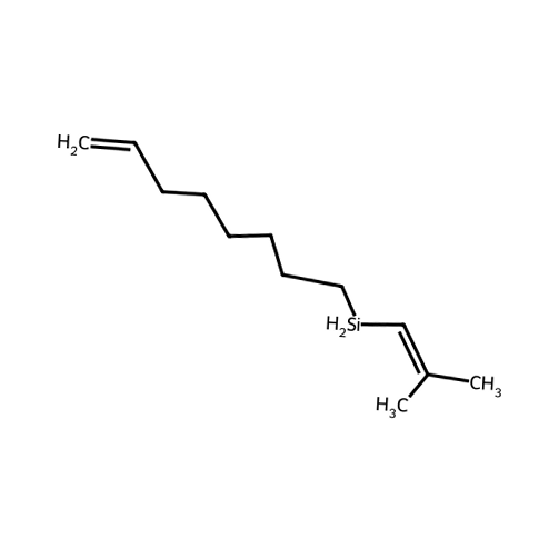 C=CCCCCCC[SiH2]C=C(C)C